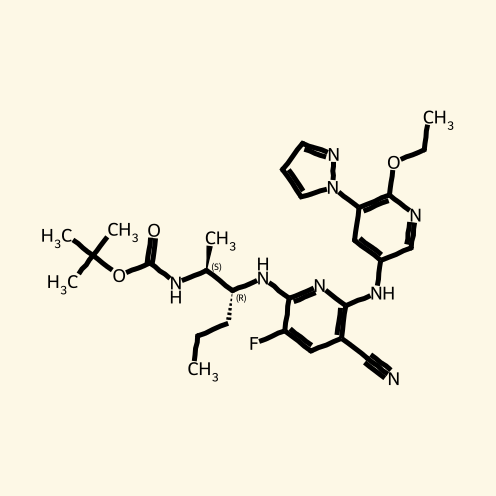 CCC[C@@H](Nc1nc(Nc2cnc(OCC)c(-n3cccn3)c2)c(C#N)cc1F)[C@H](C)NC(=O)OC(C)(C)C